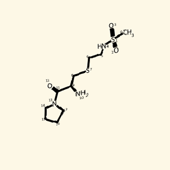 CS(=O)(=O)NCCSCC(N)C(=O)N1CCCC1